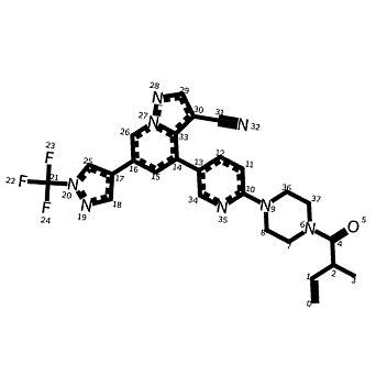 C=CC(C)C(=O)N1CCN(c2ccc(-c3cc(-c4cnn(C(F)(F)F)c4)cn4ncc(C#N)c34)cn2)CC1